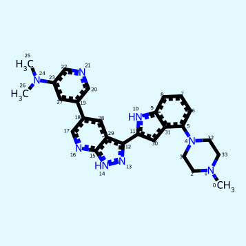 CN1CCN(c2cccc3[nH]c(-c4n[nH]c5ncc(-c6cncc(N(C)C)c6)cc45)cc23)CC1